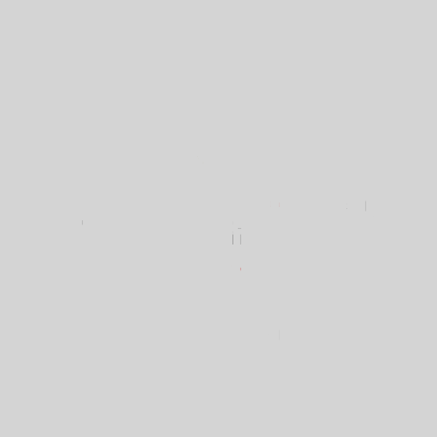 CCCC(SCC)[SiH](OCC)OCC